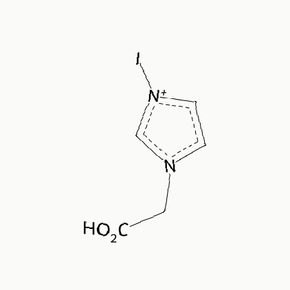 O=C(O)Cn1cc[n+](I)c1